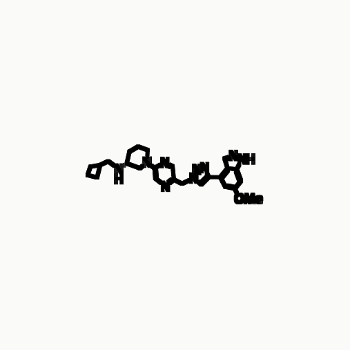 COc1cc(-c2cn(Cc3cnc(N4CCC[C@@H](NCC5CCC5)C4)cn3)nn2)c2cn[nH]c2c1